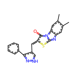 Cc1cc2nc3sc(=Cc4c[nH]nc4-c4ccccc4)c(=O)n3c2cc1C